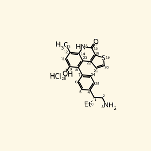 CC[C@@H](CN)c1ccc(-c2c(O)cc(C)c3[nH]c(=O)c4sccc4c23)cc1.Cl